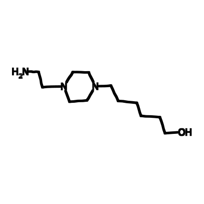 NCCN1CCN(CCCCCCO)CC1